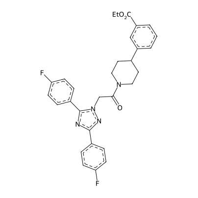 CCOC(=O)c1cccc(C2CCN(C(=O)Cn3nc(-c4ccc(F)cc4)nc3-c3ccc(F)cc3)CC2)c1